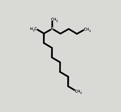 CCCCCCCCC(C)N(C)CCCC